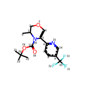 CC1COC=C(c2ccc(C(F)(F)F)cn2)N1C(=O)OC(C)(C)C